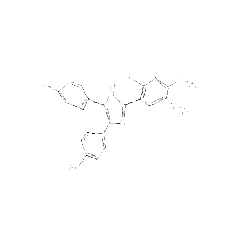 COc1cc(-c2nc(-c3ccc(Br)cc3)c(-c3ccc(Br)cc3)[nH]2)c([N+](=O)[O-])cc1OC